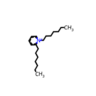 CCCCCCCc1cccc[n+]1CCCCCCC